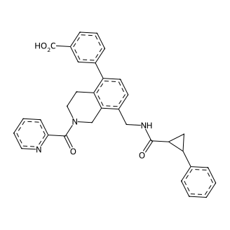 O=C(O)c1cccc(-c2ccc(CNC(=O)C3CC3c3ccccc3)c3c2CCN(C(=O)c2ccccn2)C3)c1